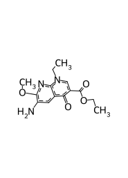 CCOC(=O)c1cn(CC)c2nc(OC)c(N)cc2c1=O